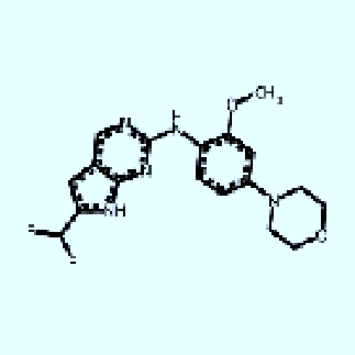 COc1cc(N2CCOCC2)ccc1Nc1ncc2cc(C(F)F)[nH]c2n1